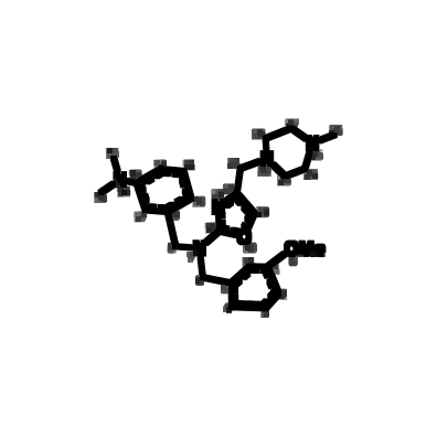 COc1cccc(CN(Cc2cccc(N(C)C)c2)c2nc(CN3CCN(C)CC3)co2)c1